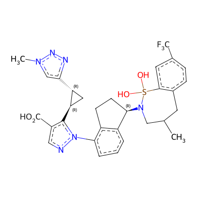 CC1Cc2ccc(C(F)(F)F)cc2S(O)(O)N([C@@H]2CCc3c2cccc3-n2ncc(C(=O)O)c2[C@@H]2C[C@H]2c2cn(C)nn2)C1